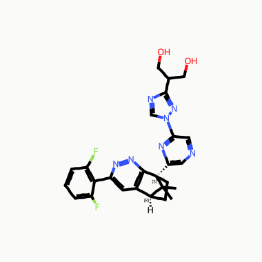 CC1(C)[C@H]2CC[C@]1(c1cncc(-n3cnc(C(CO)CO)n3)n1)c1nnc(-c3c(F)cccc3F)cc12